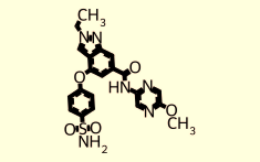 CCn1cc2c(Oc3ccc(S(N)(=O)=O)cc3)cc(C(=O)Nc3cnc(OC)cn3)cc2n1